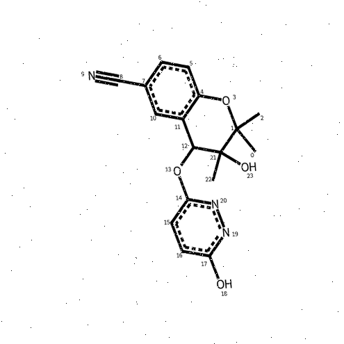 CC1(C)Oc2ccc(C#N)cc2C(Oc2ccc(O)nn2)C1(C)O